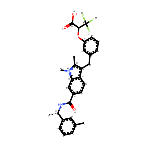 Cc1cccc([C@H](C)NC(=O)c2ccc3c(Cc4cccc(OC(C(=O)O)C(F)(F)F)c4)c(C)n(C)c3c2)c1